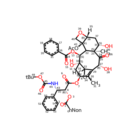 CCCCCCCCCC(=O)O[C@@H](C(=O)O[C@H]1C[C@@]2(O)[C@@H](OC(=O)c3ccccc3)C3[C@](C)(C(=O)[C@H](O)C(=C1C)C2(C)C)[C@@H](O)C[C@H]1OC[C@@]31OC(C)=O)[C@@H](NC(=O)OC(C)(C)C)c1ccccc1